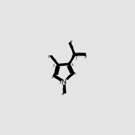 Cc1cn(C)cc1C(C)C